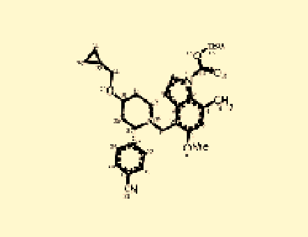 COc1cc(C)c2c(ccn2C(=O)OC(C)(C)C)c1CN1CC[C@H](OCC2CC2)C[C@H]1c1ccc(C#N)cc1